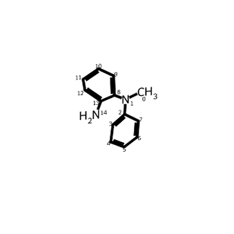 CN(c1ccccc1)c1ccccc1N